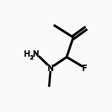 C=C(C)C(F)N(C)N